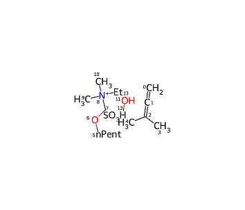 C=C=C(C)C.CCCCCOC[N+](C)(C)CC.O=S(=O)(O)O